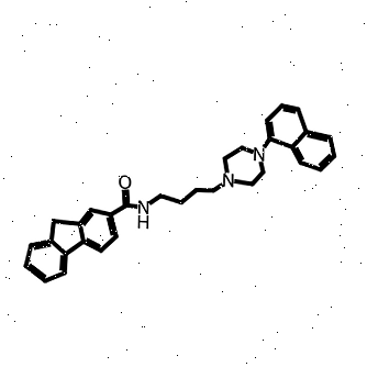 O=C(NCCCCN1CCN(c2cccc3ccccc23)CC1)c1ccc2c(c1)Cc1ccccc1-2